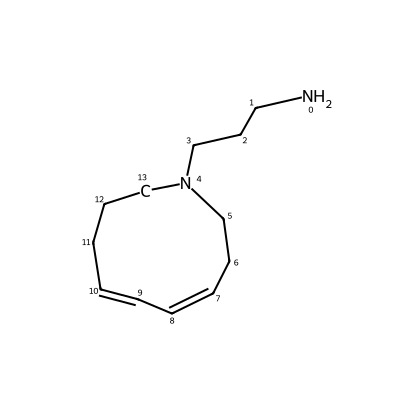 NCCCN1CC/C=C\C=C/CCC1